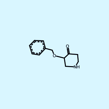 O=C1CCNCC1OCc1ccccc1